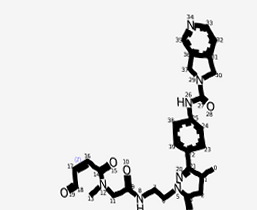 CC1CC(=O)N(CCNC(=O)CN(C)C(=O)/C=C\C=O)N=C1c1ccc(NC(=O)N2Cc3ccncc3C2)cc1